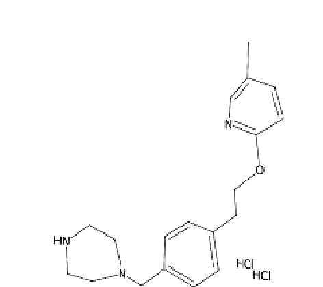 Cc1ccc(OCCc2ccc(CN3CCNCC3)cc2)nc1.Cl.Cl